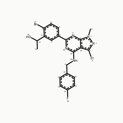 CCc1nn(C)c2nc(-c3ccc(Br)c(C(C)O)c3)nc(NCc3ccc(F)cc3)c12